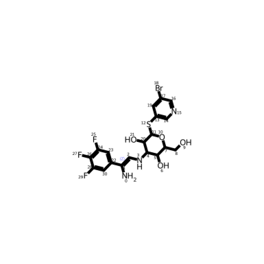 N/C(=C\NC1C(O)C(CO)OC(Sc2cncc(Br)c2)C1O)c1cc(F)c(F)c(F)c1